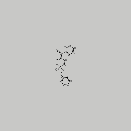 O=C(C1=CCC(Cl)(OCc2ccccc2)C=C1)c1ccccc1